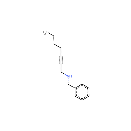 CCCCC#CCNCc1ccccc1